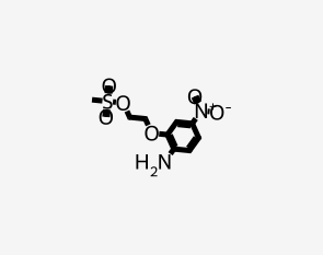 CS(=O)(=O)OCCOc1cc([N+](=O)[O-])ccc1N